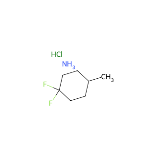 CC1CCC(F)(F)CC1.Cl.N